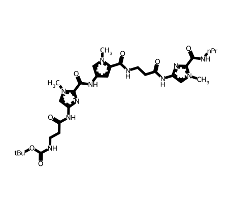 CCCNC(=O)c1nc(NC(=O)CCNC(=O)c2cc(NC(=O)c3nc(NC(=O)CCNC(=O)OC(C)(C)C)cn3C)cn2C)cn1C